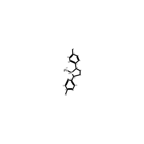 Cc1ccc(C2CCC(c3ccc(C)cc3)P2C(C)C)cc1